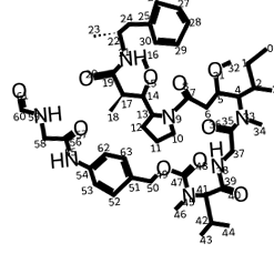 CCC(C)C(C(CC(=O)N1CCCC1C(OC)[C@@H](C)C(=O)N[C@H](C)Cc1ccccc1)OC)N(C)C(=O)CNC(=O)C(C(C)C)N(C)C(=O)OCc1ccc(NC(=O)CNC=O)cc1